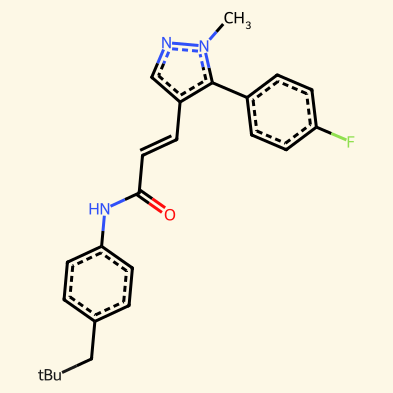 Cn1ncc(C=CC(=O)Nc2ccc(CC(C)(C)C)cc2)c1-c1ccc(F)cc1